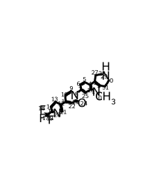 Cn1c2c(c3ccc(-n4ccc(-c5ccc(C(F)(F)F)nc5)cc4=O)cc31)CCNCC2